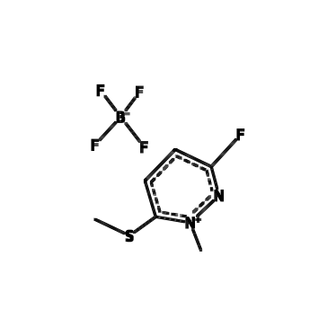 CSc1ccc(F)n[n+]1C.F[B-](F)(F)F